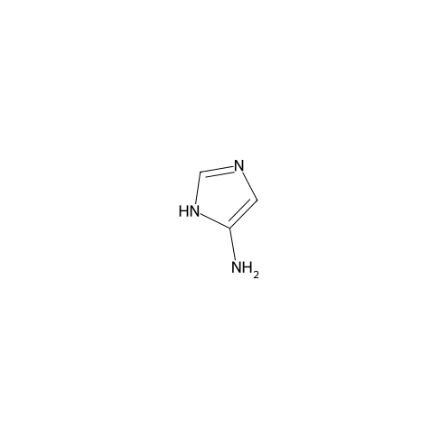 Nc1cnc[nH]1